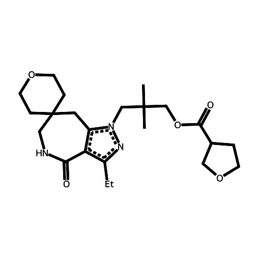 CCc1nn(CC(C)(C)COC(=O)C2CCOC2)c2c1C(=O)NCC1(CCOCC1)C2